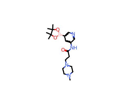 CN1CCN(CCC(=O)Nc2cncc(B3OC(C)(C)C(C)(C)O3)c2)CC1